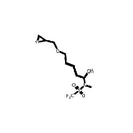 CN(C(O)CCCCOCC1CO1)S(=O)(=O)C(F)(F)F